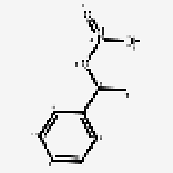 CC(O[PH](=O)O)c1ccccc1